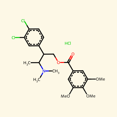 COc1cc(C(=O)OCC(c2ccc(Cl)c(Cl)c2)C(C)N(C)C)cc(OC)c1OC.Cl